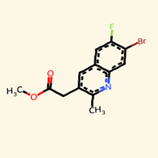 COC(=O)Cc1cc2cc(F)c(Br)cc2nc1C